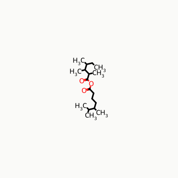 CCC(C)C(C)C(C)C(=O)OC(=O)CCCC(C)C(C)C